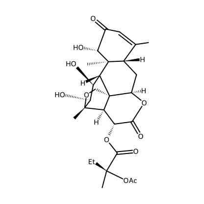 CC[C@](C)(OC(C)=O)C(=O)O[C@H]1C(=O)O[C@@H]2C[C@H]3C(C)=CC(=O)[C@@H](O)[C@]3(C)[C@H]3[C@@H](O)[C@@H](O)[C@@]4(C)OC[C@]32[C@@H]14